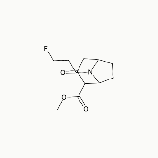 COC(=O)C1C(=O)CC2CCC1N2CCCF